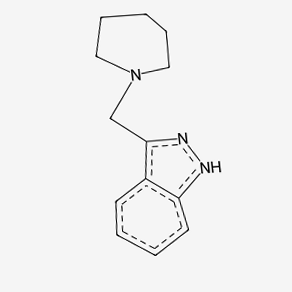 c1ccc2c(CN3CCCCC3)n[nH]c2c1